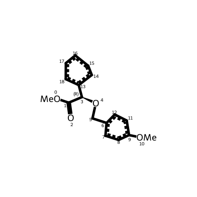 COC(=O)[C@H](OCc1ccc(OC)cc1)c1ccccc1